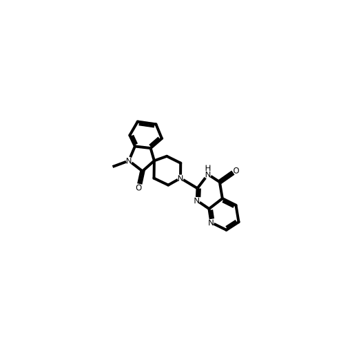 CN1C(=O)C2(CCN(c3nc4ncccc4c(=O)[nH]3)CC2)c2ccccc21